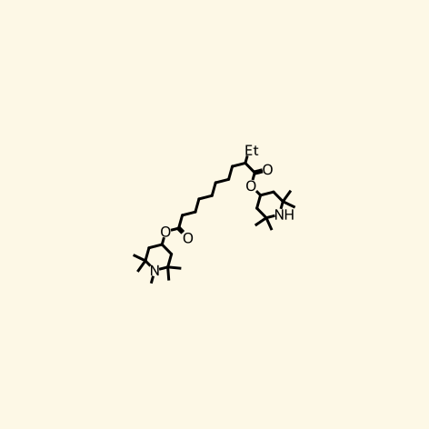 CCC(CCCCCCCC(=O)OC1CC(C)(C)N(C)C(C)(C)C1)C(=O)OC1CC(C)(C)NC(C)(C)C1